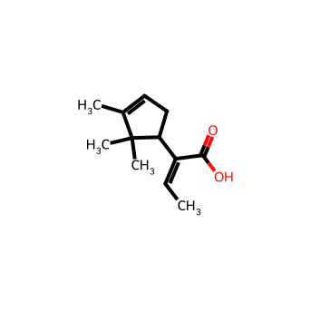 CC=C(C(=O)O)C1CC=C(C)C1(C)C